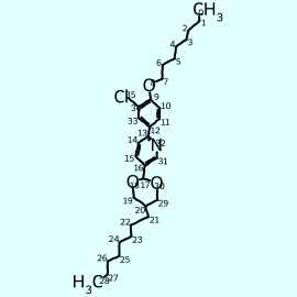 CCCCCCCCOc1ccc(-c2ccc(C3OCC(CCCCCCCC)CO3)cn2)cc1Cl